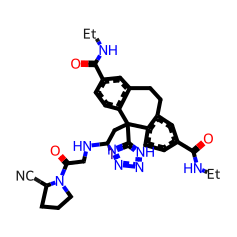 CCNC(=O)c1ccc2c(c1)CCc1cc(C(=O)NCC)ccc1C2(C[C@@H](I)NCC(=O)N1CCCC1C#N)c1nnn[nH]1